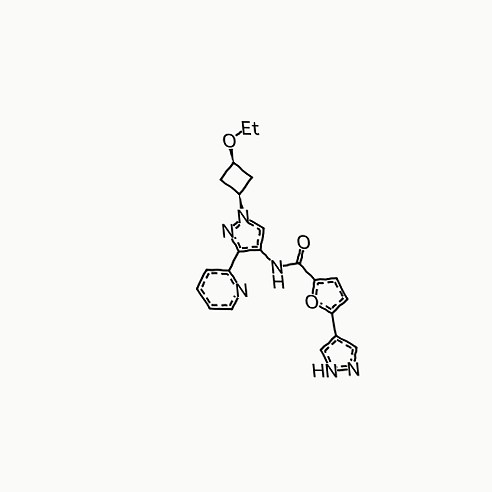 CCO[C@H]1C[C@@H](n2cc(NC(=O)c3ccc(-c4cn[nH]c4)o3)c(-c3ccccn3)n2)C1